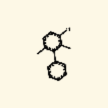 Cc1ccc(Cl)c(C)c1-c1ccccc1